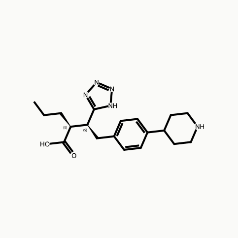 CCC[C@H](C(=O)O)[C@H](Cc1ccc(C2CCNCC2)cc1)c1nnn[nH]1